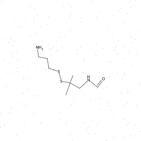 CC(C)(CNC=O)SSCCCN